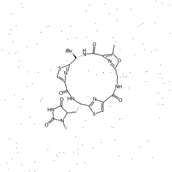 CC[C@H](C)[C@@H]1NC(=O)c2nc(oc2C)[C@H](C)NC(=O)c2csc(n2)[C@H](CC2C(=O)NC(=O)N2C)NC(=O)c2csc1n2